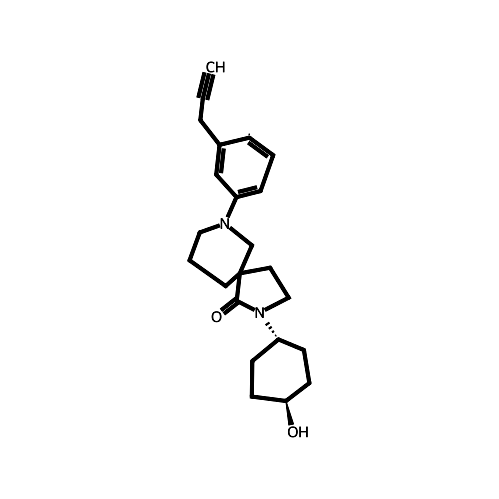 C#CCc1[c]ccc(N2CCCC3(CCN([C@H]4CC[C@H](O)CC4)C3=O)C2)c1